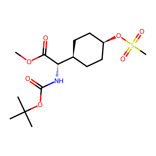 COC(=O)[C@@H](NC(=O)OC(C)(C)C)[C@H]1CC[C@@H](OS(C)(=O)=O)CC1